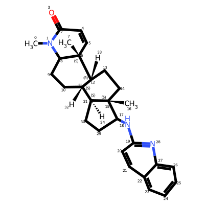 CN1C(=O)C=C[C@@]2(C)C1CC[C@@H]1[C@H]2CC[C@]2(C)C(Nc3ccc4ccccc4n3)CC[C@@H]12